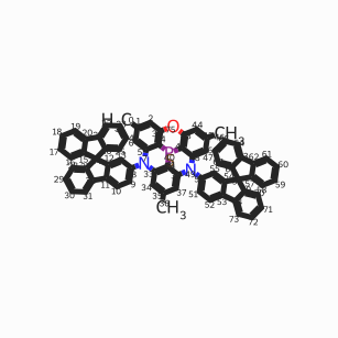 Cc1cc2c3c(c1)N(c1ccc4c(c1)C1(c5ccccc5-c5ccccc51)c1ccccc1-4)c1cc(C)cc4c1P3(=S)c1c(cc(C)cc1N4c1ccc3c(c1)C1(c4ccccc4-c4ccccc41)c1ccccc1-3)O2